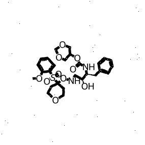 COc1ccccc1S(=O)(=O)C1(ONC[C@@H](O)[C@H](Cc2ccccc2)NC(=O)OC2COCOC2)CCOCC1